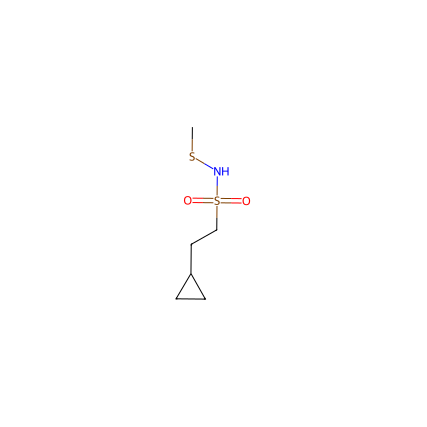 CSNS(=O)(=O)CCC1CC1